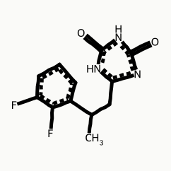 CC(Cc1nc(=O)[nH]c(=O)[nH]1)c1cccc(F)c1F